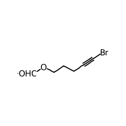 O=[C]OCCCC#CBr